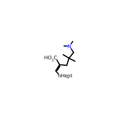 CCCCCCC/C=C(\CC(C)(C)CN(C)C)C(=O)O